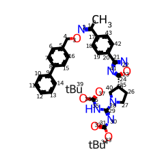 CC(=NOCc1ccc(-c2ccccc2)cc1)c1ccc(-c2noc([C@@H]3CCN(C(=NC(=O)OC(C)(C)C)NC(=O)OC(C)(C)C)C3)n2)cc1